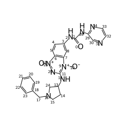 O=C(Nc1ccc2c(c1)[n+]([O-])c(NC1CCN(Cc3ccccc3)C1)n[n+]2[O-])Nc1cnccn1